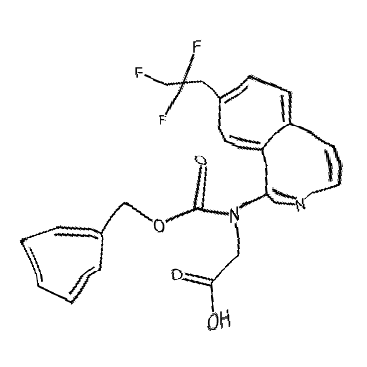 O=C(O)CN(C(=O)OCc1ccccc1)c1nccc2ccc(C(F)(F)F)cc12